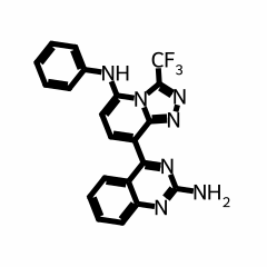 Nc1nc(-c2ccc(Nc3ccccc3)n3c(C(F)(F)F)nnc23)c2ccccc2n1